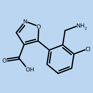 NCc1c(Cl)cccc1-c1oncc1C(=O)O